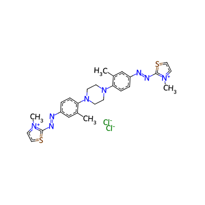 Cc1cc(/N=N/c2scc[n+]2C)ccc1N1CCN(c2ccc(/N=N/c3scc[n+]3C)cc2C)CC1.[Cl-].[Cl-]